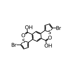 O=C(O)c1cc(-c2ccc(Br)s2)c(C(=O)O)cc1-c1ccc(Br)s1